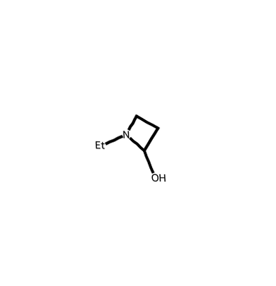 [CH2]CN1CCC1O